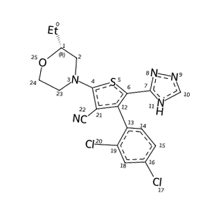 CC[C@@H]1CN(c2sc(-c3nnc[nH]3)c(-c3ccc(Cl)cc3Cl)c2C#N)CCO1